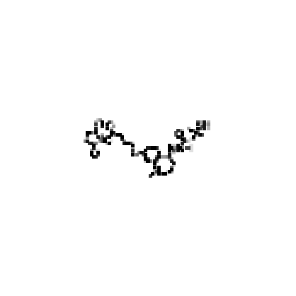 CN1CCC/C(=N\NC(=O)CC(C)(C)S)c2ccc(OCCCC(=O)ON3C(=O)CCC3=O)cc21